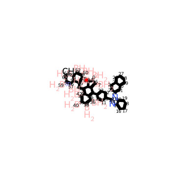 BC1=C(B)C2C(=C1B)C(c1ccc(-c3nc4ccccc4n3-c3ccc4ccccc4c3)cc1)=c1c(B)c(B)c(B)c(B)c1=C2Cc1c(B)c(B)c(B)c(B)c1/C(B)=C(/B)C#C